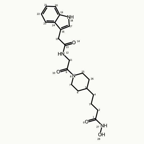 O=C(CCCC1CCN(C(=O)CNC(=O)Cc2c[nH]c3ccccc23)CC1)NO